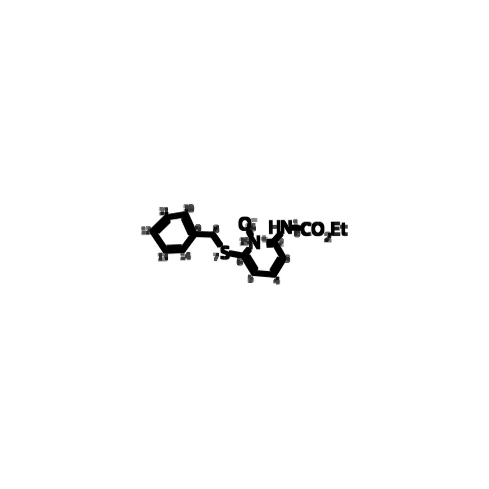 CCOC(=O)Nc1cccc(SCc2ccccc2)[n+]1[O-]